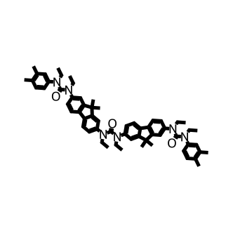 CCN(C(=O)N(CC)c1ccc2c(c1)C(C)(C)c1cc(N(CC)C(=O)N(CC)c3ccc4c(c3)C(C)(C)c3cc(N(CC)C(=O)N(CC)c5ccc(C)c(C)c5)ccc3-4)ccc1-2)c1ccc(C)c(C)c1